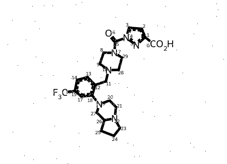 O=C(O)c1ccn(C(=O)N2CCN(Cc3ccc(C(F)(F)F)cc3N3CCN4CCCC4C3)CC2)n1